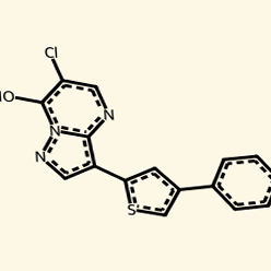 Oc1c(Cl)cnc2c(-c3cc(-c4ccccc4)cs3)cnn12